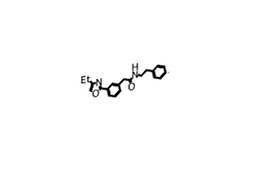 CCc1coc(-c2cccc(CC(=O)NCCc3cc[c]cc3)c2)n1